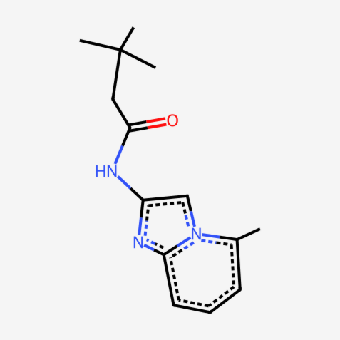 Cc1cccc2nc(NC(=O)CC(C)(C)C)cn12